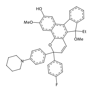 CCC1(OC)c2ccccc2-c2c1c1c(c3cc(OC)c(O)cc23)OC(c2ccc(F)cc2)(c2ccc(N3CCCCC3)cc2)C=C1